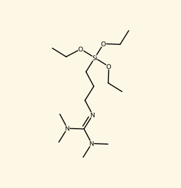 CCO[Si](CCCN=C(N(C)C)N(C)C)(OCC)OCC